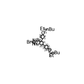 CCCCC(CC)COc1ccc(-c2cc(Cn3nc(Br)nc3Br)cc(-c3ccc(OCC(CC)CCCC)cc3)c2)cc1